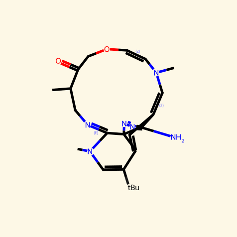 CC1C/N=C2/N(C)C=C(C(C)(C)C)C3=C/C(=C/N(C)/C=C\OCC1=O)C1=C(N)N=NC312